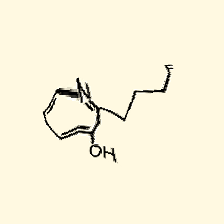 Oc1cccnc1CCCF